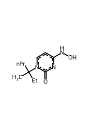 CCCC(C)(CC)n1ccc(NO)nc1=O